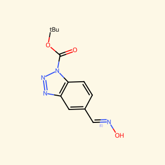 CC(C)(C)OC(=O)n1nnc2cc(/C=N/O)ccc21